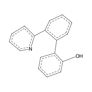 Oc1ccccc1-c1ccccc1-c1ccccn1